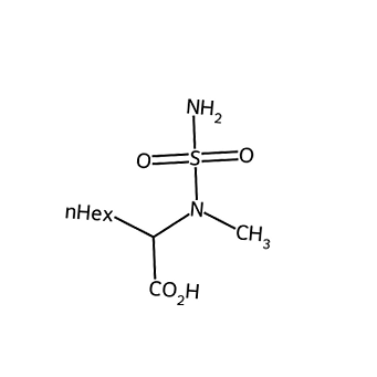 CCCCCCC(C(=O)O)N(C)S(N)(=O)=O